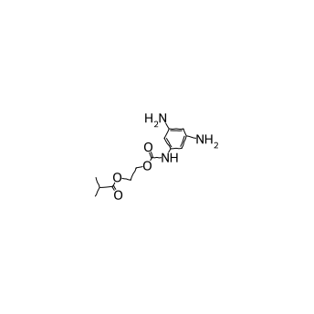 CC(C)C(=O)OCCOC(=O)Nc1cc(N)cc(N)c1